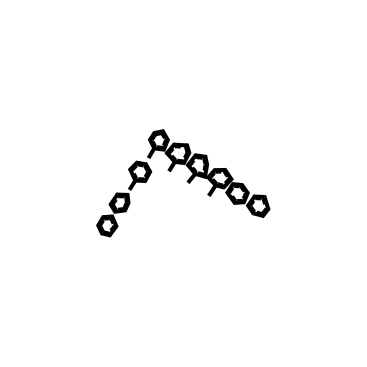 Cc1ccccc1.Cc1ccccc1.Cc1ccccc1.Cc1ccccc1.Cc1ccccc1.c1ccccc1.c1ccccc1.c1ccccc1.c1ccccc1